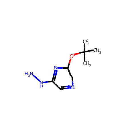 CC(C)(OC1CN=CC(NN)=N1)C(F)(F)F